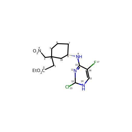 CCOC(=O)CC1(C[N+](=O)[O-])CCC[C@H](NC2=NC(Cl)NC=C2F)C1